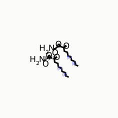 C/C=C/C/C=C/CCC(=O)C1OC1C(N)=O.C/C=C/C/C=C/CCC(=O)[C@H]1O[C@H]1C(N)=O